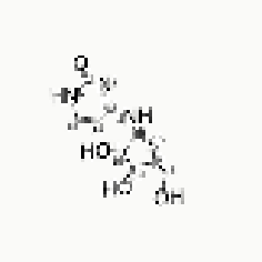 O=c1nc(N[C@@H]2S[C@@H](CO)[C@@H](O)[C@@H]2O)cc[nH]1